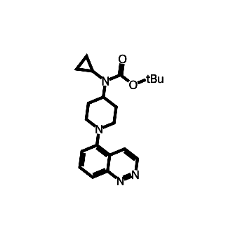 CC(C)(C)OC(=O)N(C1CC1)C1CCN(c2cccc3nnccc23)CC1